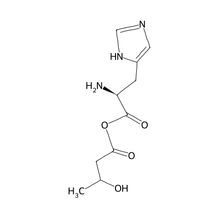 CC(O)CC(=O)OC(=O)[C@@H](N)Cc1cnc[nH]1